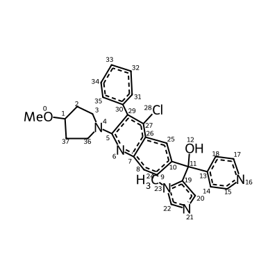 COC1CCN(c2nc3ccc(C(O)(c4ccncc4)c4cncn4C)cc3c(Cl)c2-c2ccccc2)CC1